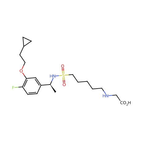 C[C@H](NS(=O)(=O)CCCCCNCC(=O)O)c1ccc(F)c(OCCC2CC2)c1